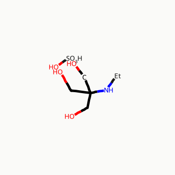 CCNC(CO)(CO)CO.O=S(=O)(O)O